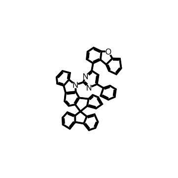 c1ccc(-c2cc(-c3cccc4oc5ccccc5c34)nc(-n3c4ccccc4c4ccc5c(c43)-c3ccccc3C53c4ccccc4-c4ccccc43)n2)cc1